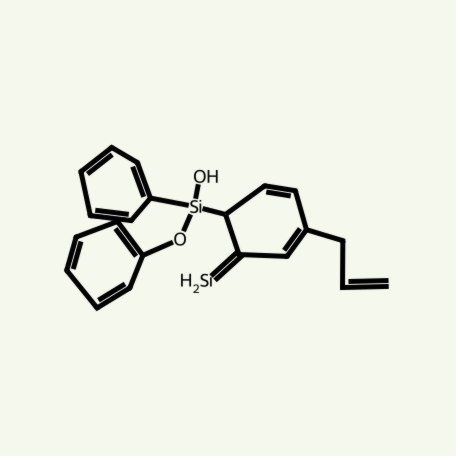 C=CCC1=CC(=[SiH2])C([Si](O)(Oc2ccccc2)c2ccccc2)C=C1